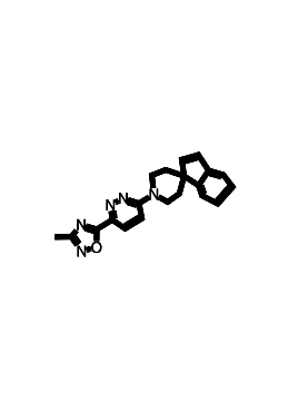 Cc1noc(-c2ccc(N3CCC4(C=Cc5ccccc54)CC3)nn2)n1